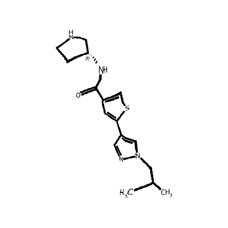 CC(C)Cn1cc(-c2cc(C(=O)N[C@@H]3CCNC3)cs2)cn1